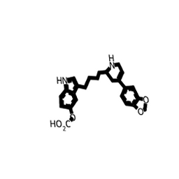 O=C(O)Oc1ccc2[nH]cc(CCCCC3CC(c4ccc5c(c4)OCO5)=CCN3)c2c1